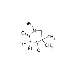 CCC1(C)C(=O)N(C(C)C)CC(C)(C)N1[O]